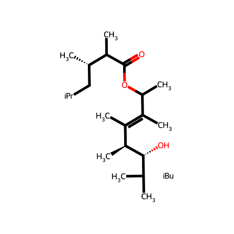 CC[C@H](C)C(C)(C)[C@@H](O)[C@@H](C)/C(C)=C(\C)C(C)OC(=O)C(C)[C@@H](C)CC(C)C